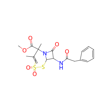 C=C(C)C(C)(C(=O)OC)N1C(=O)C(NC(=O)Cc2ccccc2)C1SS(C)(=O)=O